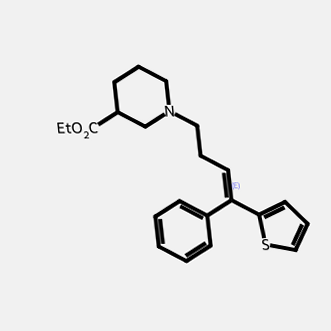 CCOC(=O)C1CCCN(CC/C=C(\c2ccccc2)c2cccs2)C1